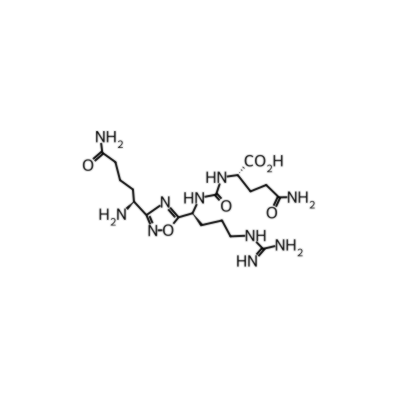 N=C(N)NCCC[C@H](NC(=O)N[C@@H](CCC(N)=O)C(=O)O)c1nc([C@@H](N)CCCC(N)=O)no1